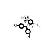 CC(=C1CCNCC1)c1ccc(Cl)cc1.Cc1ccc(S(=O)(=O)O)cc1